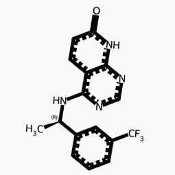 C[C@@H](Nc1ncnc2[nH]c(=O)ccc12)c1cccc(C(F)(F)F)c1